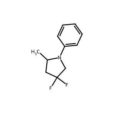 CC1CC(F)(F)CN1c1ccccc1